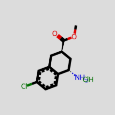 COC(=O)[C@@H]1Cc2cc(Cl)ccc2[C@@H](N)C1.Cl